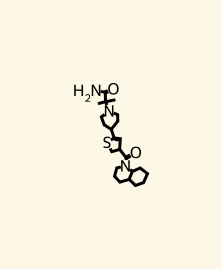 CC(C)(C(N)=O)N1CCC(C2=CC(C(=O)N3CCCC4CCCCC43)CS2)CC1